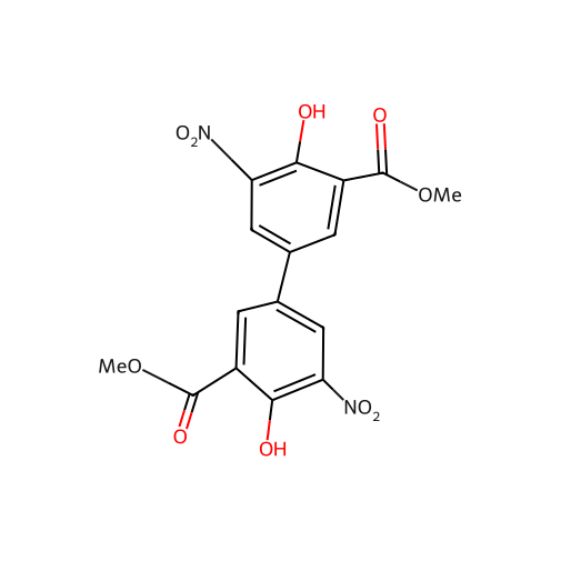 COC(=O)c1cc(-c2cc(C(=O)OC)c(O)c([N+](=O)[O-])c2)cc([N+](=O)[O-])c1O